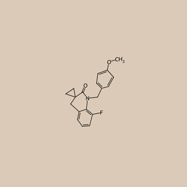 COc1ccc(CN2C(=O)C3(CC3)Cc3cccc(F)c32)cc1